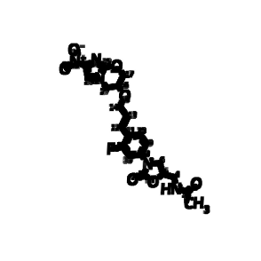 CC(=O)NCC1CN(c2ccc(C=CCOC3COc4nc([N+](=O)[O-])cn4C3)c(F)c2)C(=O)O1